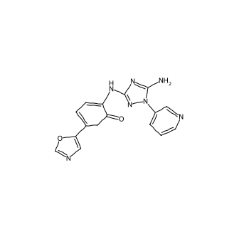 Nc1nc(NC2=CC=C(c3cnco3)CC2=O)nn1-c1cccnc1